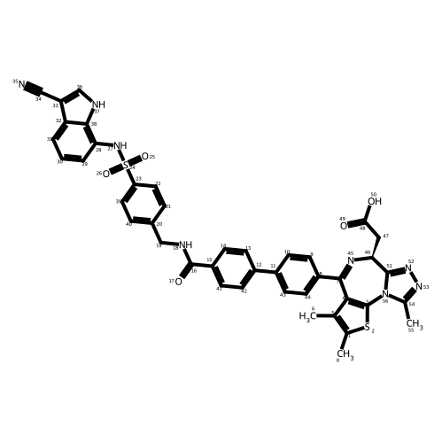 Cc1sc2c(c1C)C(c1ccc(-c3ccc(C(=O)NCc4ccc(S(=O)(=O)Nc5cccc6c(C#N)c[nH]c56)cc4)cc3)cc1)=N[C@@H](CC(=O)O)c1nnc(C)n1-2